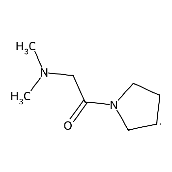 CN(C)CC(=O)N1C[CH]CC1